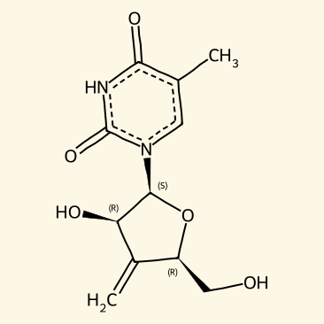 C=C1[C@H](CO)O[C@H](n2cc(C)c(=O)[nH]c2=O)[C@@H]1O